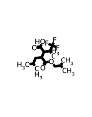 CC(C)COC(=O)C(CC(C)C)C(C(=O)O)C(C)C(F)(F)F